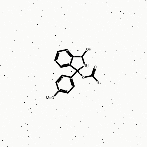 CCC(=O)OC1(c2ccc(OC)cc2)NC(O)c2ccccc21